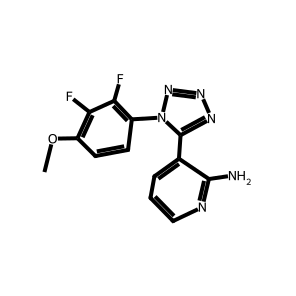 COc1ccc(-n2nnnc2-c2cccnc2N)c(F)c1F